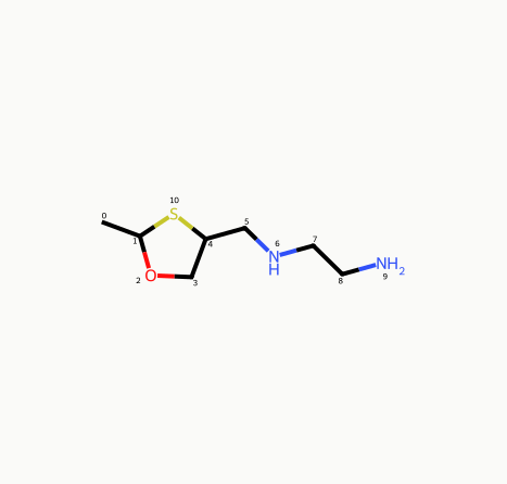 CC1OCC(CNCCN)S1